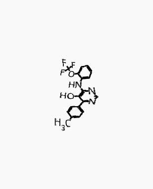 Cc1ccc(-c2ncnc(Nc3ccccc3OC(F)(F)F)c2O)cc1